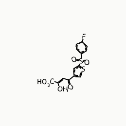 O=C(O)C(O)=CC(=O)c1csc(S(=O)(=O)c2ccc(F)cc2)c1